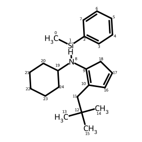 C[SiH](c1ccccc1)N(C1=C(CC(C)(C)C)C=CC1)C1CCCCC1